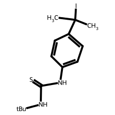 CC(C)(C)NC(=S)Nc1ccc(C(C)(C)I)cc1